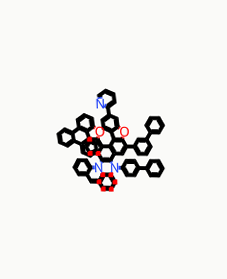 C1=CC2=Cc3ccccc3N(c3c(N(c4ccccc4)c4ccc(-c5ccccc5)cc4)c4cc(-c5cccc(-c6ccccc6)c5)c5oc6cc(-c7ccccn7)ccc6c5c4c4c3ccc3c4oc4cccc(-c5ccccc5-c5ccccc5)c43)C2C=C1